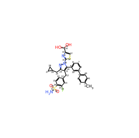 Cc1ccc(-c2cccc(-c3c(Cc4ccc(S(N)(=O)=O)c(F)c4)c(CC4CC4)nn3-c3nc(C(O)O)cs3)c2)cc1